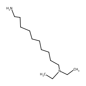 CCN(CC)CCCCCCCCCCN